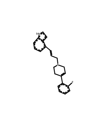 Fc1ccccc1C1=CCN(CC=Cc2cccc3[nH]ccc23)CC1